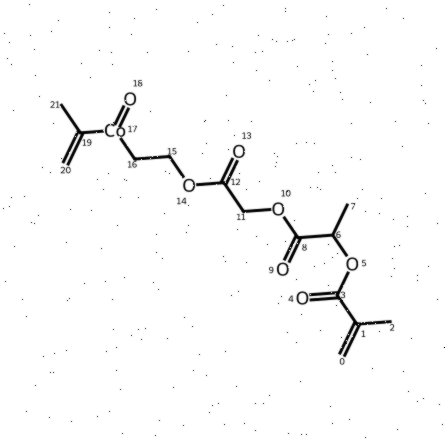 C=C(C)C(=O)OC(C)C(=O)OCC(=O)OC[CH2][Co](=[O])[C](=C)C